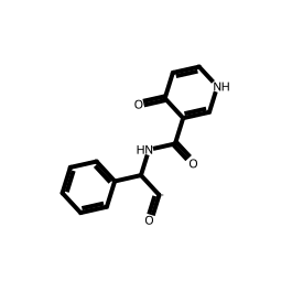 O=[C]C(NC(=O)c1c[nH]ccc1=O)c1ccccc1